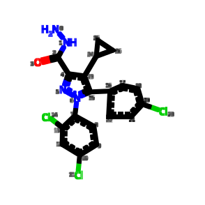 NNC(=O)c1nn(-c2ccc(Cl)cc2Cl)c(-c2ccc(Cl)cc2)c1C1CC1